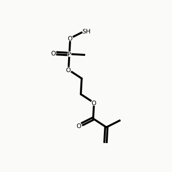 C=C(C)C(=O)OCCOP(C)(=O)OS